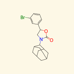 O=C1OC(c2cccc(Br)c2)CN1C1C2CC3CC(C2)CC1C3